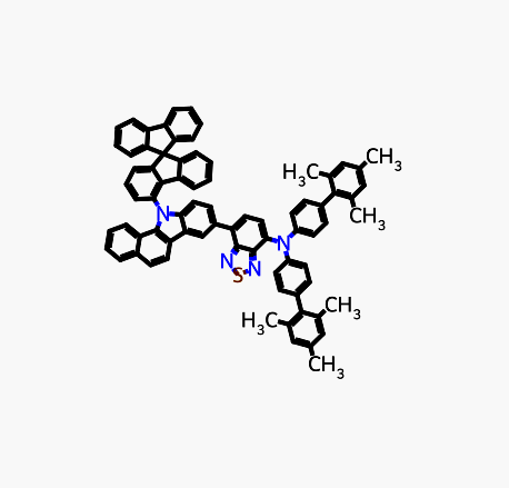 Cc1cc(C)c(-c2ccc(N(c3ccc(-c4c(C)cc(C)cc4C)cc3)c3ccc(-c4ccc5c(c4)c4ccc6ccccc6c4n5-c4cccc5c4-c4ccccc4C54c5ccccc5-c5ccccc54)c4nsnc34)cc2)c(C)c1